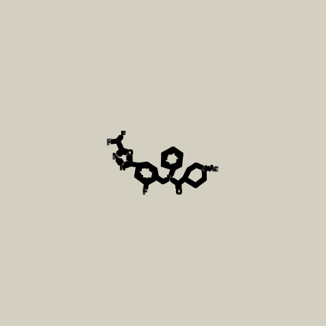 CC(=O)N1CCC(C(=O)N(Cc2ccc(-c3nnc(C(F)F)o3)cc2F)c2ccccc2)CC1